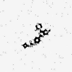 C[C@H]1COCCN1c1nc(-c2ccc(NC(=O)NC3CCC3)cc2)nc2c1CN(C)C2